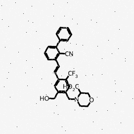 N#Cc1c(C=Cc2cc(CO)c(CN3CCOCC3C(=O)O)cc2C(F)(F)F)cccc1-c1ccccc1